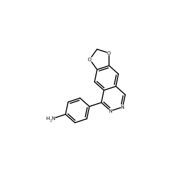 Nc1ccc(-c2nncc3cc4c(cc23)OCO4)cc1